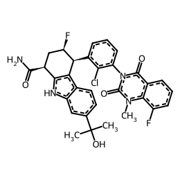 Cn1c(=O)n(-c2cccc([C@H]3c4c([nH]c5cc(C(C)(C)O)ccc45)[C@@H](C(N)=O)C[C@H]3F)c2Cl)c(=O)c2cccc(F)c21